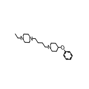 CCN1CCN(CCCCN2CCC(Oc3ccccc3)CC2)CC1